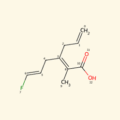 C=CCC(CC=CF)=C(C)C(=O)O